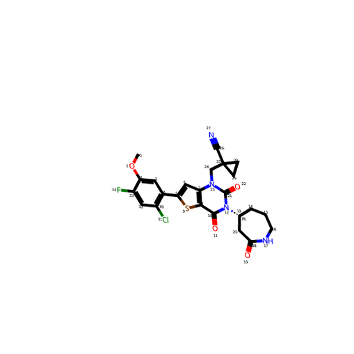 COc1cc(-c2cc3c(s2)c(=O)n([C@@H]2CCCNC(=O)C2)c(=O)n3CC2(C#N)CC2)c(Cl)cc1F